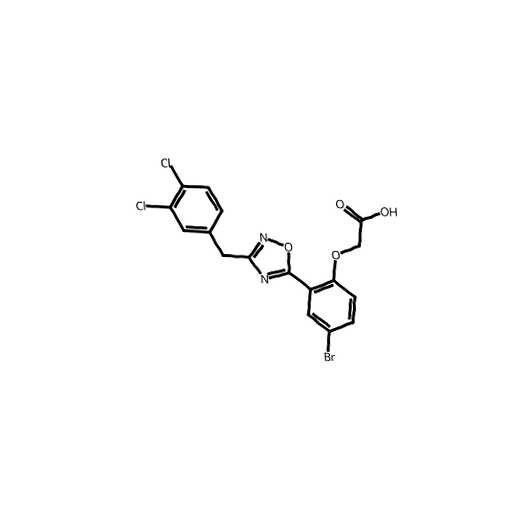 O=C(O)COc1ccc(Br)cc1-c1nc(Cc2ccc(Cl)c(Cl)c2)no1